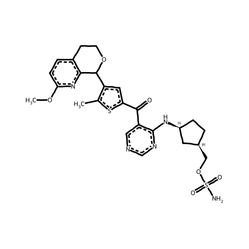 COc1ccc2c(n1)C(c1cc(C(=O)c3cncnc3N[C@H]3CC[C@@H](COS(N)(=O)=O)C3)sc1C)OCC2